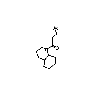 CC(=O)CCC(=O)N1CCCC2CCCCC21